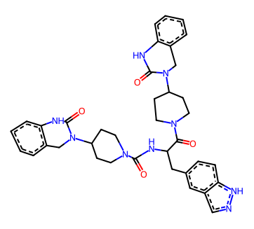 O=C(NC(Cc1ccc2[nH]ncc2c1)C(=O)N1CCC(N2Cc3ccccc3NC2=O)CC1)N1CCC(N2Cc3ccccc3NC2=O)CC1